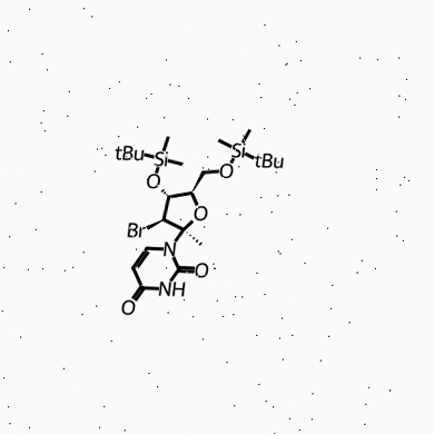 CC(C)(C)[Si](C)(C)OC[C@H]1O[C@@](C)(n2ccc(=O)[nH]c2=O)[C@@H](Br)[C@@H]1O[Si](C)(C)C(C)(C)C